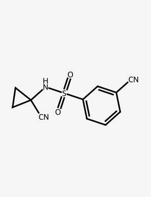 N#Cc1cccc(S(=O)(=O)NC2(C#N)CC2)c1